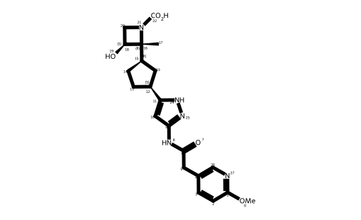 COc1ccc(CC(=O)Nc2cc([C@H]3CC[C@@H]([C@]4(C)[C@@H](O)CN4C(=O)O)C3)[nH]n2)cn1